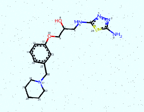 Nc1nnc(NCC(O)COc2cccc(CN3CCCCC3)c2)s1